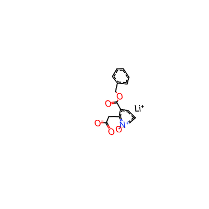 O=C([O-])Cc1c(C(=O)OCc2ccccc2)ccc[n+]1[O-].[Li+]